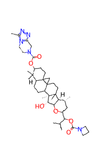 Cc1nnc2n1CCN(C(=O)OC1CCC34CC35CCC3(C)[C@@H]6C(OC(C(OC(=O)N7CCC7)C(C)C)C[C@H]6C)[C@H](O)[C@@]3(C)C5CC[C@H]4C1(C)C)C2